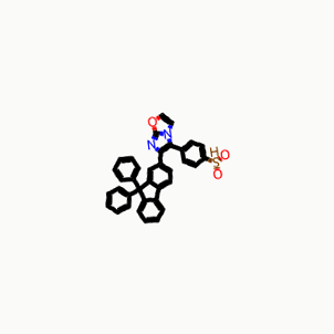 O=[SH](=O)c1ccc(-c2c(-c3ccc4c(c3)C(c3ccccc3)(c3ccccc3)c3ccccc3-4)nc3occn23)cc1